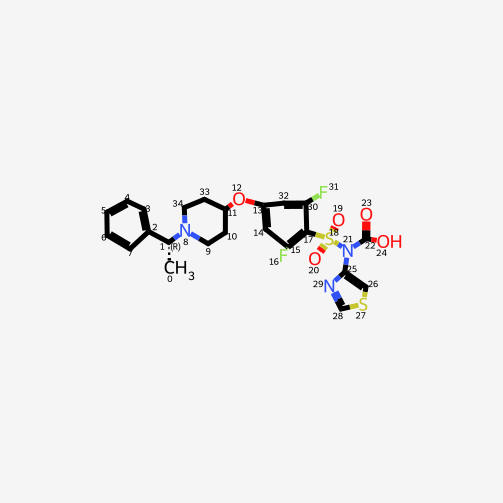 C[C@H](c1ccccc1)N1CCC(Oc2cc(F)c(S(=O)(=O)N(C(=O)O)c3cscn3)c(F)c2)CC1